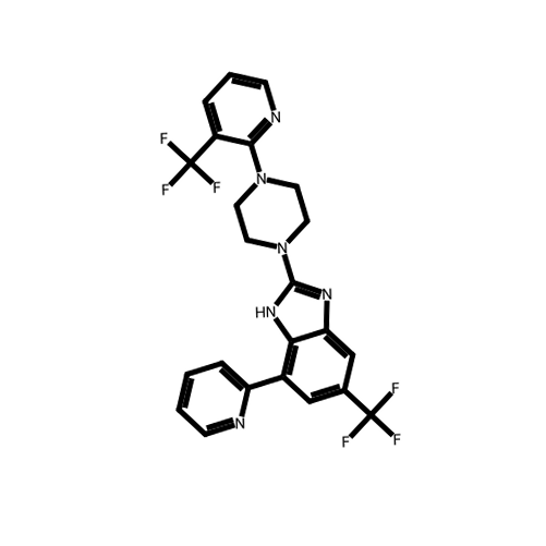 FC(F)(F)c1cc(-c2ccccn2)c2[nH]c(N3CCN(c4ncccc4C(F)(F)F)CC3)nc2c1